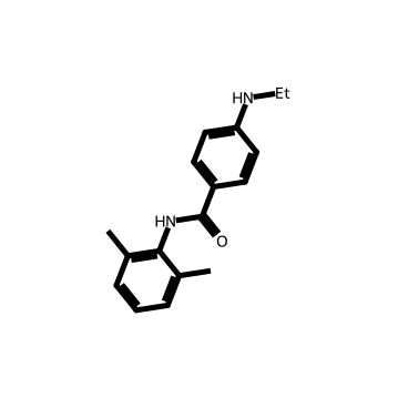 CCNc1ccc(C(=O)Nc2c(C)cccc2C)cc1